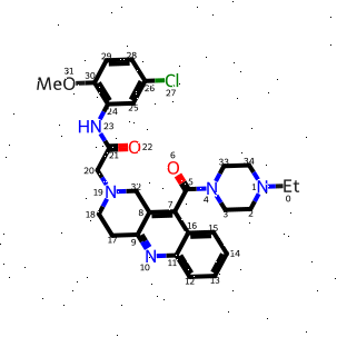 CCN1CCN(C(=O)c2c3c(nc4ccccc24)CCN(CC(=O)Nc2cc(Cl)ccc2OC)C3)CC1